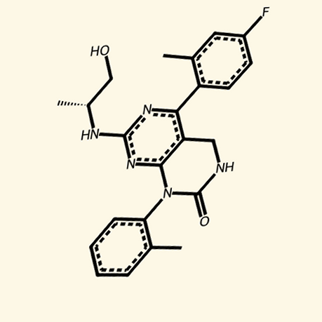 Cc1cc(F)ccc1-c1nc(N[C@H](C)CO)nc2c1CNC(=O)N2c1ccccc1C